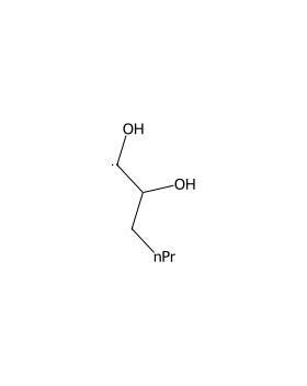 CCCCC(O)[CH]O